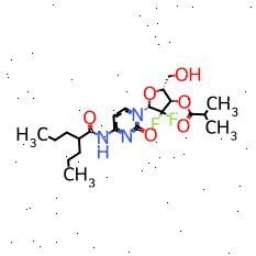 CCCC(CCC)C(=O)Nc1ccn([C@@H]2O[C@H](CO)[C@@H](OC(=O)C(C)C)C2(F)F)c(=O)n1